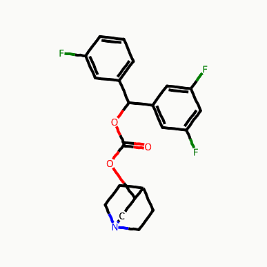 O=C(OC(c1cccc(F)c1)c1cc(F)cc(F)c1)OC1CN2CCC1CC2